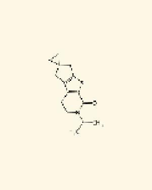 CC(C)N1CCc2c(sc3c2CC2(CC2)C3)C1=O